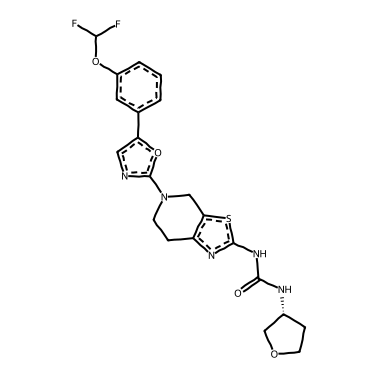 O=C(Nc1nc2c(s1)CN(c1ncc(-c3cccc(OC(F)F)c3)o1)CC2)N[C@@H]1CCOC1